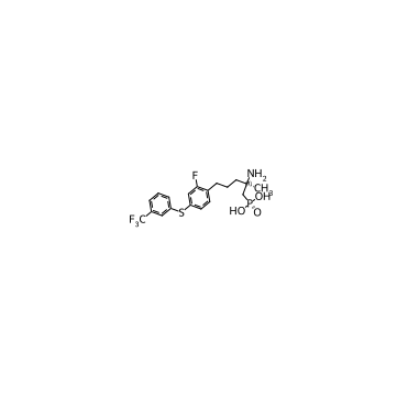 C[C@@](N)(CCCc1ccc(Sc2cccc(C(F)(F)F)c2)cc1F)CP(=O)(O)O